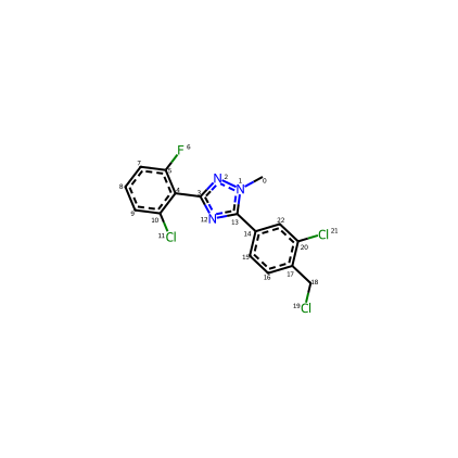 Cn1nc(-c2c(F)cccc2Cl)nc1-c1ccc(CCl)c(Cl)c1